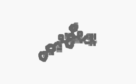 CC(C)C[C@@H](CO)NC(=O)c1c(-c2ccsc2)nc2c(C(=O)NCc3ccc(N4CCCCC4)nc3)cccn12